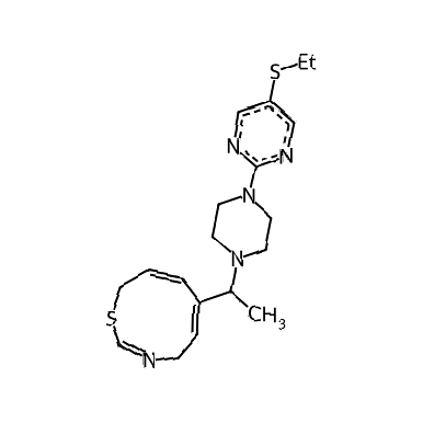 CCSc1cnc(N2CCN(C(C)C3=C/C/N=C\SC/C=C\3)CC2)nc1